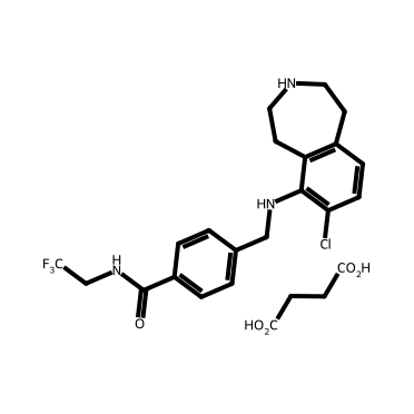 O=C(NCC(F)(F)F)c1ccc(CNc2c(Cl)ccc3c2CCNCC3)cc1.O=C(O)CCC(=O)O